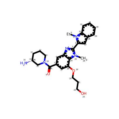 CCn1c(-c2nc3cc(C(=O)N4CCC[C@@H](N)C4)cc(OCCCO)c3n2C)cc2ccccc21